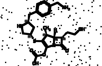 C[C@H]1C(S[C@@H]2CN[C@@H](Cc3ccc(CN)cc3)C2)=C(OC(=O)O)N2C(=O)[C@@H](CCO)[C@@H]12